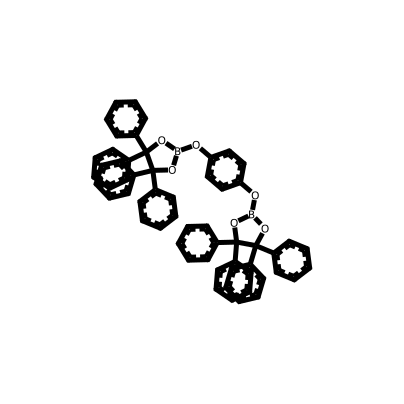 c1ccc(C2(c3ccccc3)OB(Oc3ccc(OB4OC(c5ccccc5)(c5ccccc5)C(c5ccccc5)(c5ccccc5)O4)cc3)OC2(c2ccccc2)c2ccccc2)cc1